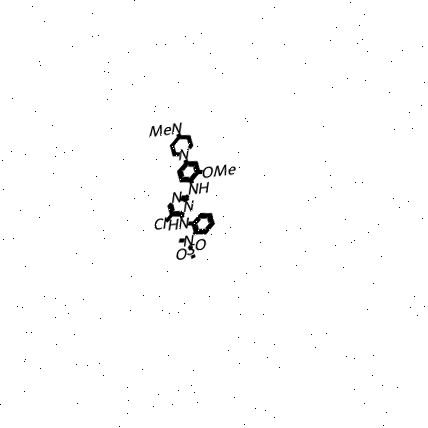 CNC1CCN(c2ccc(Nc3ncc(Cl)c(Nc4ccccc4N(C)S(C)(=O)=O)n3)c(OC)c2)CC1